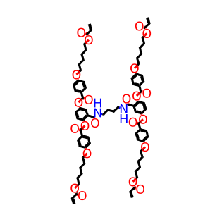 C=CC(=O)OCCCCCCOc1ccc(C(=O)Oc2ccc(OC(=O)c3ccc(OCCCCCCOC(=O)C=C)cc3)c(C(=O)NCCCCNC(=O)c3cc(OC(=O)c4ccc(OCCCCCCOC(=O)C=C)cc4)ccc3OC(=O)c3ccc(OCCCCCCOC(=O)C=C)cc3)c2)cc1